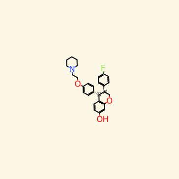 Oc1ccc2c(c1)OC[C@H](c1ccc(F)cc1)[C@H]2c1ccc(OCCN2CCCCC2)cc1